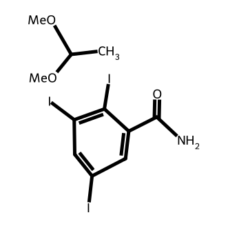 COC(C)OC.NC(=O)c1cc(I)cc(I)c1I